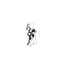 NCC1CCN(c2ccc(S(=O)(=O)NC[C@H](O)CN)c(S(N)(=O)=O)c2-c2nnn[nH]2)CC1